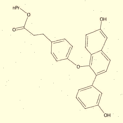 CCCOC(=O)CCc1ccc(Oc2c(-c3cccc(O)c3)ccc3cc(O)ccc23)cc1